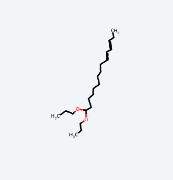 CCC=CC=CCCCCCCCCC(OCCC)OCCC